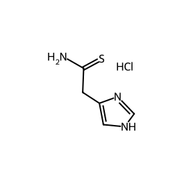 Cl.NC(=S)Cc1c[nH]cn1